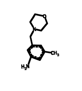 Cc1cc(N)cc(CN2CCOCC2)c1